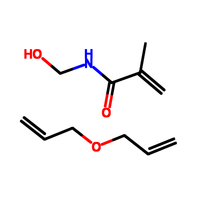 C=C(C)C(=O)NCO.C=CCOCC=C